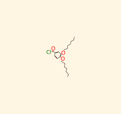 CCCCCCCOc1ccc(C(=O)Cl)cc1OCCCCCCC